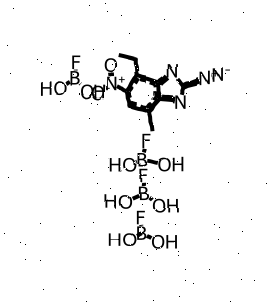 CCc1c([N+](=O)[O-])cc(C)c2c1=NC(=[N+]=[N-])N=2.OB(O)F.OB(O)F.OB(O)F.OB(O)F